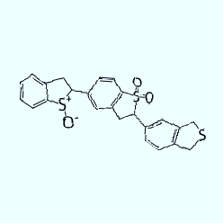 O=S1(=O)c2ccc(C3Cc4ccccc4[S+]3[O-])cc2CC1c1ccc2c(c1)CSC2